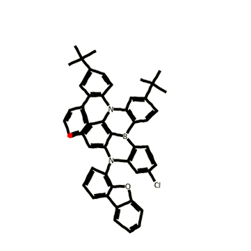 Cc1cc2c3c(c1)N(c1cccc4c1oc1ccccc14)c1cc(Cl)ccc1B3c1ccc(C(C)(C)C)cc1N2c1ccc(C(C)(C)C)cc1-c1ccccc1